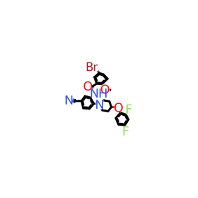 COc1ccc(Br)cc1C(=O)Nc1cc(C#N)ccc1N1CCC(Oc2ccc(F)cc2F)CC1